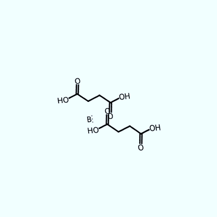 O=C(O)CCC(=O)O.O=C(O)CCC(=O)O.[B]